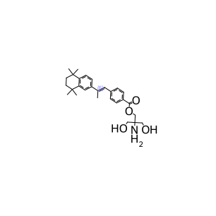 C/C(=C\c1ccc(C(=O)OCC(N)(CO)CO)cc1)c1ccc2c(c1)C(C)(C)CCC2(C)C